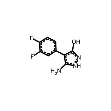 Nc1[nH]nc(O)c1-c1ccc(F)c(F)c1